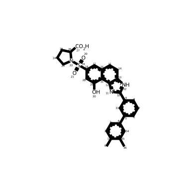 Cc1ccc(-c2cccc(-c3nc4c(ccc5cc(S(=O)(=O)N6CCCC6C(=O)O)cc(O)c54)[nH]3)c2)cc1C